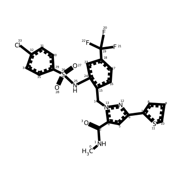 CNC(=O)c1cc(-c2cccs2)nn1Cc1ccc(C(F)(F)F)cc1NS(=O)(=O)c1ccc(Cl)cc1